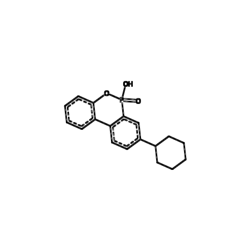 O=P1(O)Oc2ccccc2-c2ccc(C3CCCCC3)cc21